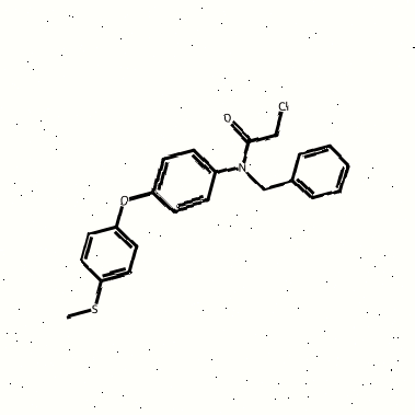 CSc1ccc(Oc2ccc(N(Cc3ccccc3)C(=O)CCl)cc2)cc1